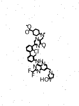 COC(=O)C1CCC(N(C)Cc2ncc(-c3cccc(-c4cccc(Nc5nc(C(F)F)nc6cc(CN7CC[C@](C)(O)C7)cnc56)c4C)c3Cl)nc2OC)CC1